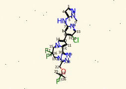 Cn1nccc1Nc1cc(-c2cc3n(c2)CC(F)(F)Cn2c(COC(C)(C)F)nnc2-3)c(Cl)cn1